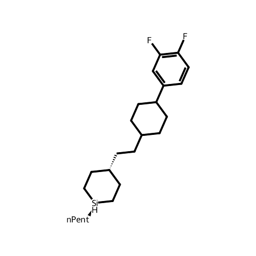 CCCCC[Si@H]1CC[C@H](CCC2CCC(c3ccc(F)c(F)c3)CC2)CC1